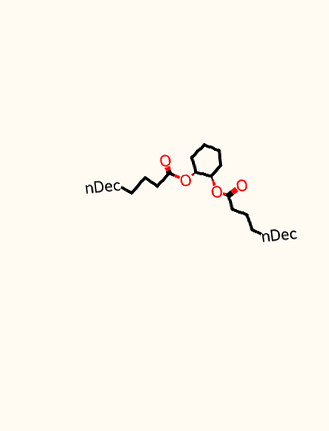 CCCCCCCCCCCCCC(=O)O[C@@H]1CCCC[C@H]1OC(=O)CCCCCCCCCCCCC